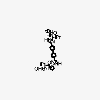 CC(C)C(NC=O)C(=O)N1CCC[C@H]1c1nc(-c2ccc(-c3ccc(-c4c[nH]c([C@@H](NC(=O)C(C)(C)C)C(C)C)n4)cc3)cc2)c[nH]1